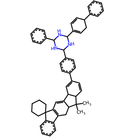 CC1(C)C2CC3=C(C=C2C2C=C(c4ccc(C5NC(C6=CCC(c7ccccc7)C=C6)NC(c6ccccc6)N5)cc4)C=CC21)C1(CCCCC1)c1ccccc13